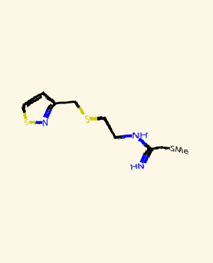 CSC(=N)NCCSCc1ccsn1